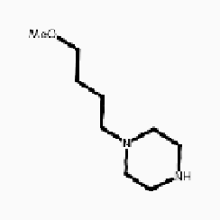 COCCCCN1CCNCC1